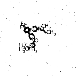 C=CN(CCCC)C1CCN(c2cc(C(F)(F)F)ccc2C2CCN(C(=O)C3CCN(C(C)(C)C)C3)CC2)CC1